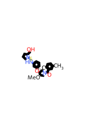 COC1CN(C(=O)c2cc(C)ccc2C)CC1Oc1cccc(NSN2CCCC2CO)c1